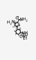 CCS(=O)(=O)Nc1cccc(-c2cc(N)c(C(N)=O)s2)c1